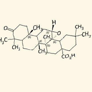 CC1(C)CCC2(C(=O)O)CC[C@@]3(C)[C@]4(C)CCC5C(C)(C)C(=O)CC[C@]5(C)C4C[C@@H]4O[C@@]43C2C1